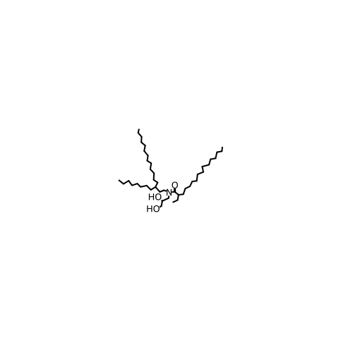 CCCCCCCCCCCCCCC(CC)C(=O)N(CCC(CCCCCCCC)CCCCCCCCCCCCC)CC(O)CO